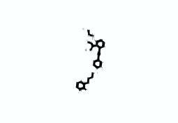 Cc1c(Cl)cccc1CCCCOc1ccc(C#Cc2ccc(F)c3c2c(CC(=O)O)c(C)n3CCCC(=O)O)cc1